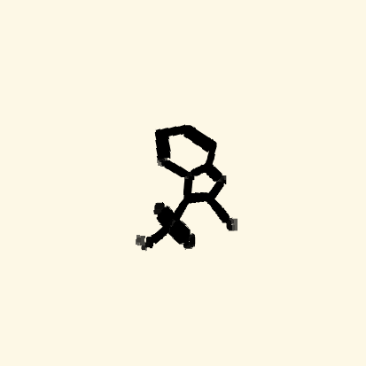 NS(=O)(=O)c1c(Cl)nc2cccnn12